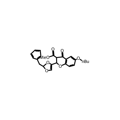 CCCCOc1ccc2c(c1)C(=O)C(C(=O)OC)C(C1=COC(Cc3ccccc3)O1)O2